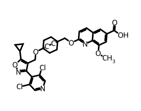 COc1cc(C(=O)O)cc2ccc(OCC34CCC(OCc5c(-c6c(Cl)cncc6Cl)noc5C5CC5)(CC3)CC4)nc12